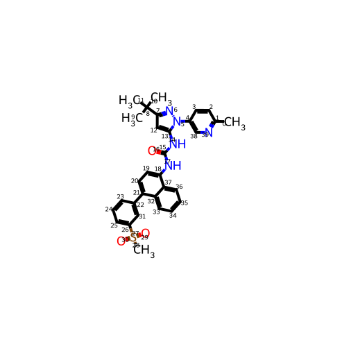 Cc1ccc(-n2nc(C(C)(C)C)cc2NC(=O)Nc2ccc(-c3cccc(S(C)(=O)=O)c3)c3ccccc23)cn1